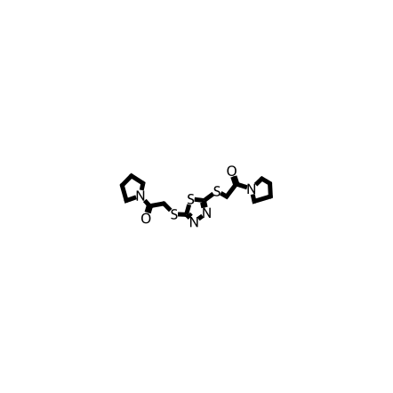 O=C(CSc1nnc(SCC(=O)N2CCCC2)s1)N1CCCC1